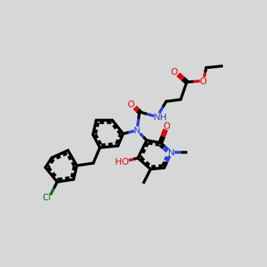 CCOC(=O)CCNC(=O)N(c1cccc(Cc2cccc(Cl)c2)c1)c1c(O)c(C)cn(C)c1=O